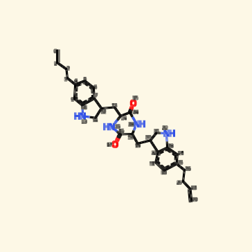 C=CCCc1ccc2c(c1)NCC2CC1NC(=O)C(CC2CNc3cc(CCC=C)ccc32)NC1=O